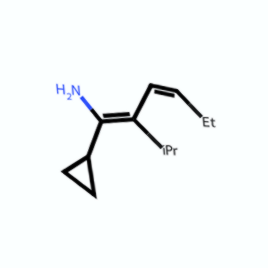 CC/C=C\C(=C(/N)C1CC1)C(C)C